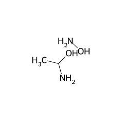 CC(N)O.NO